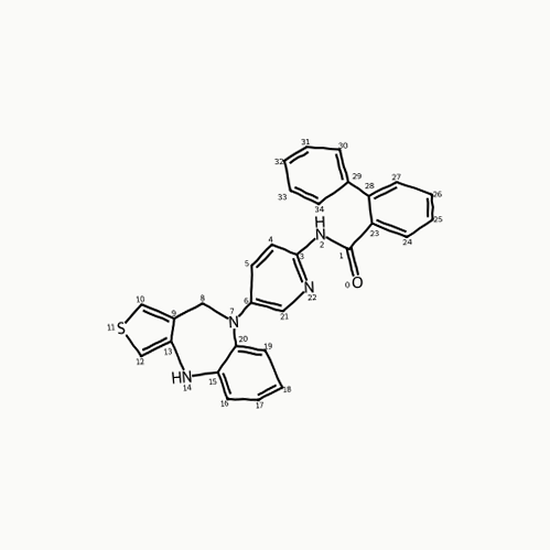 O=C(Nc1ccc(N2Cc3cscc3Nc3ccccc32)cn1)c1ccccc1-c1ccccc1